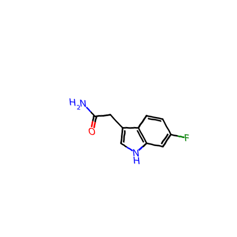 NC(=O)Cc1c[nH]c2cc(F)ccc12